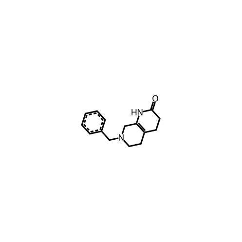 O=C1CCC2=C(CN(Cc3ccccc3)CC2)N1